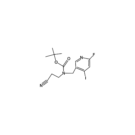 CC(C)(C)OC(=O)N(CCC#N)Cc1cnc(F)cc1I